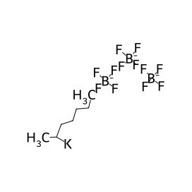 CCCCC[CH](C)[K].F[B-](F)(F)F.F[B-](F)(F)F.F[B-](F)(F)F